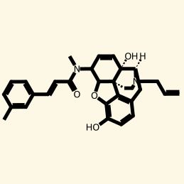 C=CCN1CC[C@]23c4c5ccc(O)c4OC2C(N(C)C(=O)/C=C/c2cccc(C)c2)C=C[C@@]3(O)[C@H]1C5